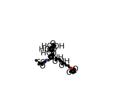 CCSC(C)C(=O)OC/C=C/c1ccc(O[C@@H]2O[C@H](C(=O)O)[C@@H](O)[C@H](O)[C@H]2O)c(NC(=O)CCNC(=O)CCCCCN2C(=O)C=CC2=O)c1